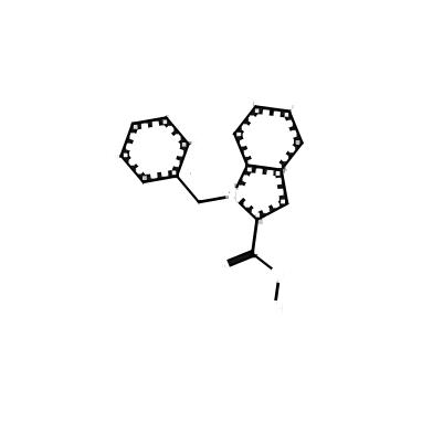 O=C(OO)c1cc2ccccc2n1Cc1ccccc1